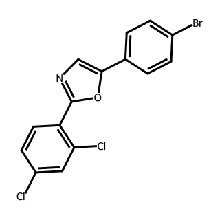 Clc1ccc(-c2ncc(-c3ccc(Br)cc3)o2)c(Cl)c1